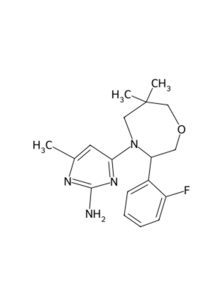 Cc1cc(N2CC(C)(C)COCC2c2ccccc2F)nc(N)n1